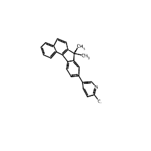 CC1(C)c2cc(-c3ccc(Cl)nc3)ccc2-c2c1ccc1ccccc21